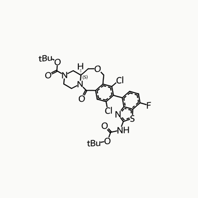 CC(C)(C)OC(=O)Nc1nc2c(-c3c(Cl)cc4c(c3Cl)COC[C@@H]3CN(C(=O)OC(C)(C)C)CCN3C4=O)ccc(F)c2s1